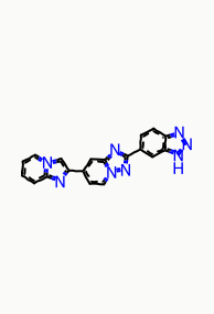 c1ccn2cc(-c3ccn4nc(-c5ccc6nn[nH]c6c5)nc4c3)nc2c1